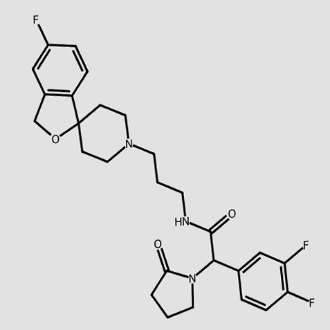 O=C(NCCCN1CCC2(CC1)OCc1cc(F)ccc12)C(c1ccc(F)c(F)c1)N1CCCC1=O